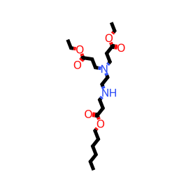 CCCCCCOC(=O)CCNCCN(CCC(=O)OCC)CCC(=O)OCC